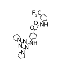 O=C(CC(=O)c1ccc(Nc2nc(N3CCCCC3)nc(N3CCCCC3)n2)cc1)Nc1cccc(C(F)(F)F)c1